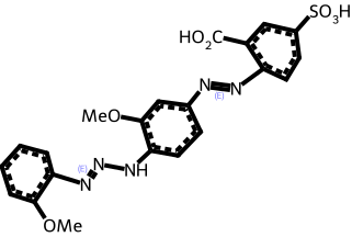 COc1ccccc1/N=N/Nc1ccc(/N=N/c2ccc(S(=O)(=O)O)cc2C(=O)O)cc1OC